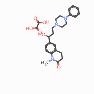 CN1C(=O)CCc2cc(C(O)CCN3CCN(c4ccccc4)CC3)ccc21.O=C(O)C(=O)O